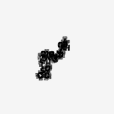 CC[C@@H](/C=C/CCSC(c1ccccc1)(c1ccccc1)c1ccccc1)OC(=O)C(NC(=O)[C@]1(C)CSC(c2cccc(CNC(=O)OC(C)(C)C)n2)=N1)C(C)C